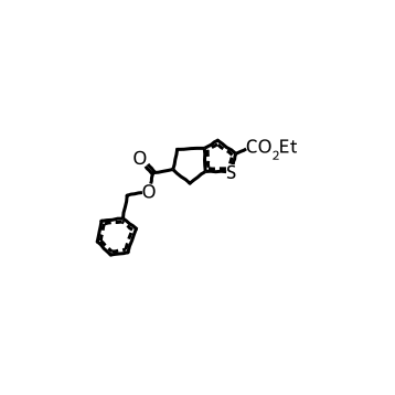 CCOC(=O)c1cc2c(s1)CC(C(=O)OCc1ccccc1)C2